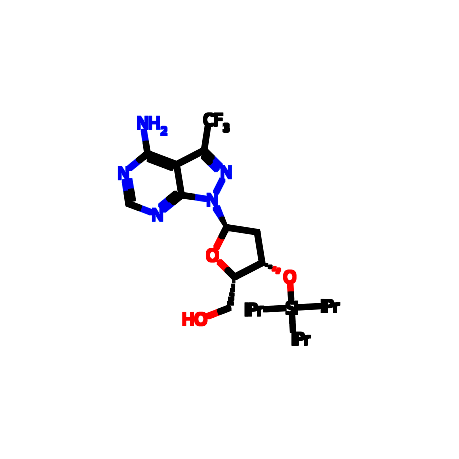 CC(C)[Si](O[C@H]1C[C@H](n2nc(C(F)(F)F)c3c(N)ncnc32)O[C@H]1CO)(C(C)C)C(C)C